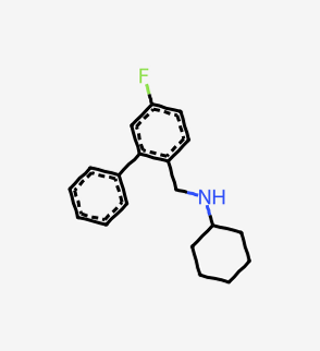 Fc1ccc(CNC2CCCCC2)c(-c2ccccc2)c1